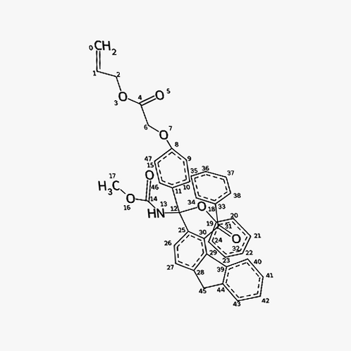 C=CCOC(=O)COc1ccc(C(NC(=O)OC)(Oc2ccccc2)c2ccc3c(c2C(=O)c2ccccc2)-c2ccccc2C3)cc1